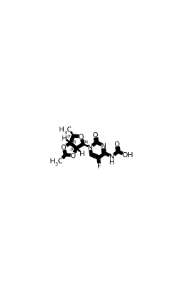 CC1O[C@@H]2[C@H](O1)[C@@H](C)O[C@H]2n1cc(F)c(NC(=O)O)nc1=O